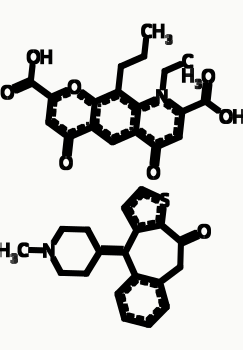 CCCc1c2oc(C(=O)O)cc(=O)c2cc2c(=O)cc(C(=O)O)n(CC)c12.CN1CCC(=C2c3ccccc3CC(=O)c3sccc32)CC1